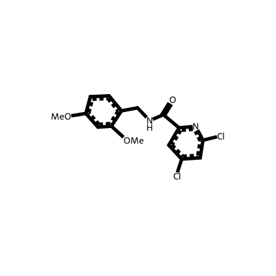 COc1ccc(CNC(=O)c2cc(Cl)cc(Cl)n2)c(OC)c1